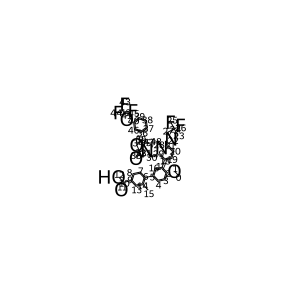 COc1ccc(-c2ccc(C(=O)O)cc2C)cc1-c1ccc(N2CC(F)(F)C2)nc1CN1C(=O)O[C@H](c2cccc(OC(F)(F)F)c2)[C@@H]1C